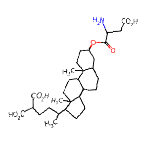 CC(CCC(C(=O)O)C(=O)O)C1CCC2C3CCC4CC(OC(=O)C(N)CC(=O)O)CCC4(C)C3CCC12C